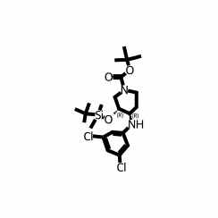 CC(C)(C)OC(=O)N1CC[C@@H](Nc2cc(Cl)cc(Cl)c2)[C@H](O[Si](C)(C)C(C)(C)C)C1